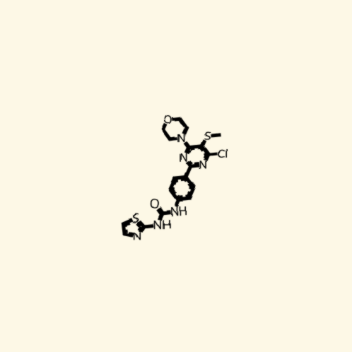 CSc1c(Cl)nc(-c2ccc(NC(=O)Nc3nccs3)cc2)nc1N1CCOCC1